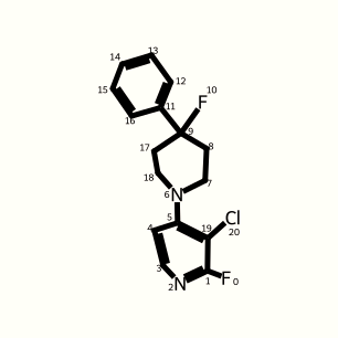 Fc1nccc(N2CCC(F)(c3ccccc3)CC2)c1Cl